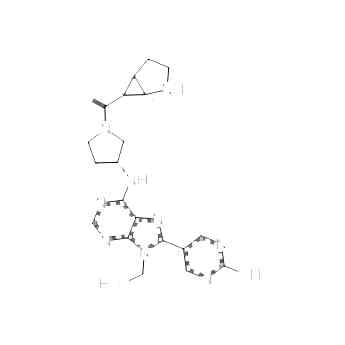 CCn1c(-c2cnc(C)nc2)nc2c(N[C@H]3CCN(C(=O)C4C5CCNC54)C3)ncnc21